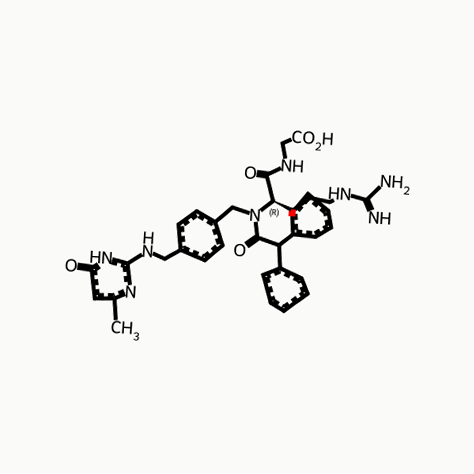 Cc1cc(=O)[nH]c(NCc2ccc(CN(C(=O)C(c3ccccc3)c3ccccc3)[C@H](CCCNC(=N)N)C(=O)NCC(=O)O)cc2)n1